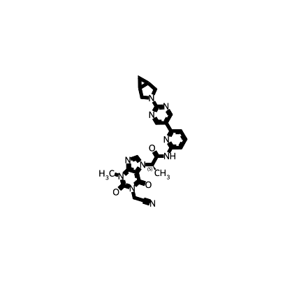 C[C@@H](C(=O)Nc1cccc(-c2cnc(N3CC4CC4C3)nc2)n1)n1cnc2c1c(=O)n(CC#N)c(=O)n2C